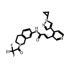 CCC(F)(F)C(=O)N1CCc2ccc(NC(=O)/C=C/c3cnccc3-c3cnn(C4CC4)c3)cc2C1